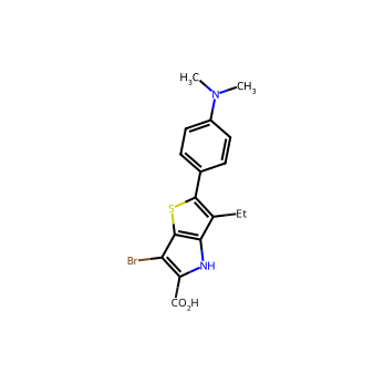 CCc1c(-c2ccc(N(C)C)cc2)sc2c(Br)c(C(=O)O)[nH]c12